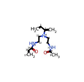 C=CC(=C)N(CCNC(C)=O)CCNC(=O)C=C